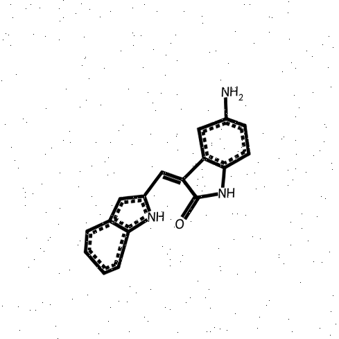 Nc1ccc2c(c1)C(=Cc1cc3ccccc3[nH]1)C(=O)N2